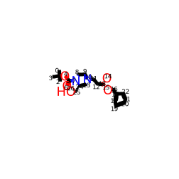 CC(C)(C)OC(=O)N1CCN(CCC(=O)OCc2ccccc2)C[C@H]1CO